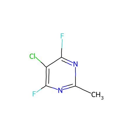 Cc1nc(F)c(Cl)c(F)n1